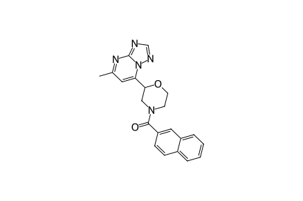 Cc1cc(C2CN(C(=O)c3ccc4ccccc4c3)CCO2)n2ncnc2n1